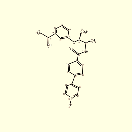 C[C@@H](NC(=O)c1ccc(-c2cc[n+]([O-])cc2)cc1)[C@@H](Cc1cccc(C(=N)N)c1)C(=O)O